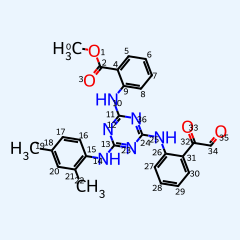 COC(=O)c1ccccc1Nc1nc(Nc2ccc(C)cc2C)nc(Nc2ccccc2C(=O)C=O)n1